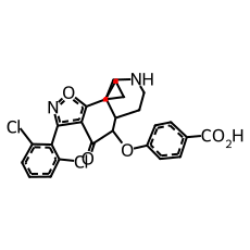 O=C(O)c1ccc(OC(C(=O)c2c(-c3c(Cl)cccc3Cl)noc2C2CC2)C2CCNCC2)cc1